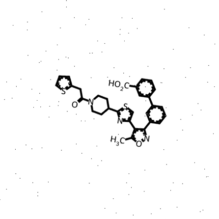 Cc1onc(-c2cccc(-c3cccc(C(=O)O)c3)c2)c1-c1csc(C2CCN(C(=O)Cc3cccs3)CC2)n1